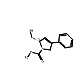 CC(C)(C)OC(=O)N1CC(c2ccccc2)=C[C@H]1CO